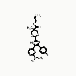 C=CCOC(=O)C1(C)COC(c2nc(-c3ccc(F)cc3)c(-c3ccnc(N(C)C#N)n3)[nH]2)OC1